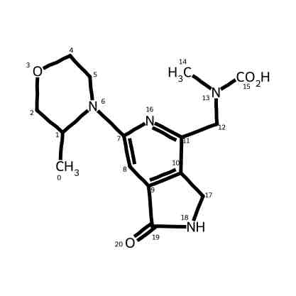 CC1COCCN1c1cc2c(c(CN(C)C(=O)O)n1)CNC2=O